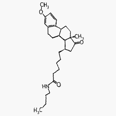 CCCCNC(=O)CCCCC[C@@H]1CC(=O)[C@@]2(C)CCC3c4ccc(OC)cc4CCC3C12